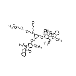 C=Nc1cc(OCc2cc(COc3cc(N=C)c(C(=O)N(C)C4CC=CC=C4CC)cc3OC)cc(N(CCCC=O)CCOCCOCCOC)c2)c(OC)cc1C(=O)N1CCc2ccccc21